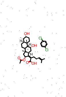 CC(=O)O[C@H]1C[C@@]2(C)[C@@H](C[C@@H](O)[C@H]3[C@@]4(C)CC[C@@H](O)[C@@H](C)[C@@H]4CC[C@@]32C)/C1=C(\CCC=C(C)C)C(=O)O.Clc1ccc(Cl)cc1